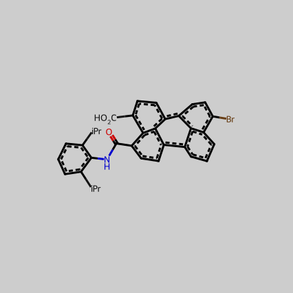 CC(C)c1cccc(C(C)C)c1NC(=O)c1ccc2c3cccc4c(Br)ccc(c5ccc(C(=O)O)c1c52)c43